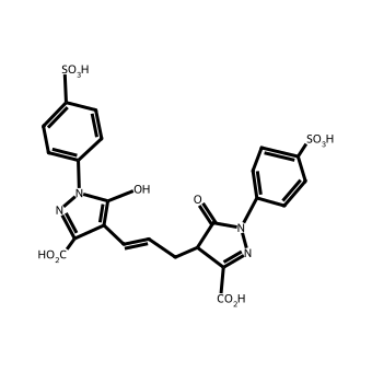 O=C(O)C1=NN(c2ccc(S(=O)(=O)O)cc2)C(=O)C1CC=Cc1c(C(=O)O)nn(-c2ccc(S(=O)(=O)O)cc2)c1O